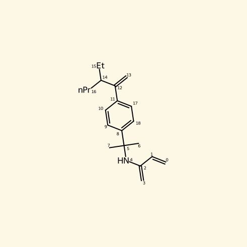 C=CC(=C)NC(C)(C)c1ccc(C(=C)C(CC)CCC)cc1